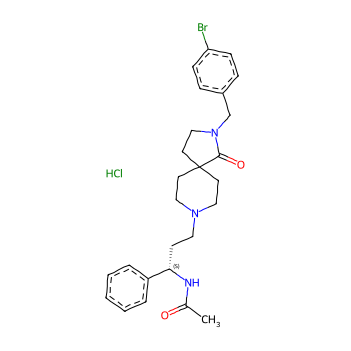 CC(=O)N[C@@H](CCN1CCC2(CC1)CCN(Cc1ccc(Br)cc1)C2=O)c1ccccc1.Cl